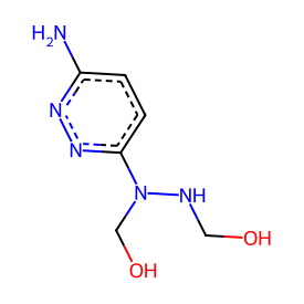 Nc1ccc(N(CO)NCO)nn1